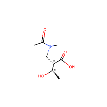 CC(=O)N(C)C[C@H](C(=O)O)[C@@H](C)O